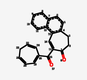 O=C1CCc2ccc3ccccc3c2C=C1C(=O)C1=CC=CCC=C1